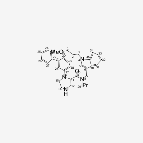 COCCCn1cc(CN(C(=O)C2CNCCN2c2cccc(-c3ccccc3)c2)C(C)C)c2ccccc21